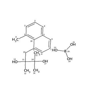 Cc1cccc2cccc(CC(C)(O)C(C)(C)O)c12.OB(O)O